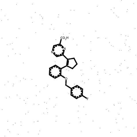 O=C(O)c1cncc(C2=C(c3ccccc3OCc3ccc(F)cc3)CCC2)n1